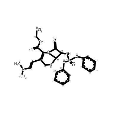 CN(C)/C=C/C1=C(C(=O)OCC(Cl)(Cl)Cl)N2C(=O)C(NP(=O)(Oc3ccccc3)Oc3ccccc3)C2SC1